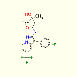 CC(C)(O)CC(=O)Nc1nn2ccc(C(F)(F)F)cc2c1-c1ccc(F)cc1